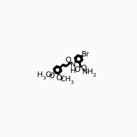 COc1ccc(/C=C/C(=O)Nc2ccc(Br)cc2C(=O)ON)cc1OC